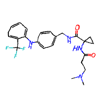 CN(C)CCC(=O)NC1(C(=O)NCc2ccc(Nc3ccccc3C(F)(F)F)cc2)CC1